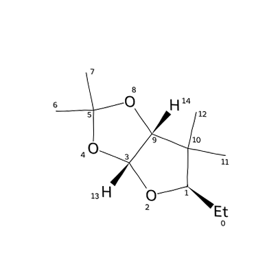 CC[C@H]1O[C@@H]2OC(C)(C)O[C@@H]2C1(C)C